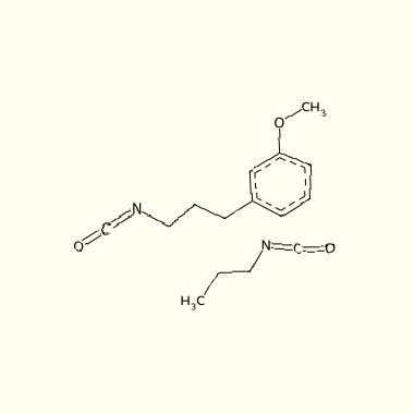 CCCN=C=O.COc1cccc(CCCN=C=O)c1